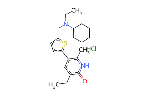 CCc1cc(-c2ccc(CN(CC)C3=CCCCC3)s2)c(C)[nH]c1=O.Cl